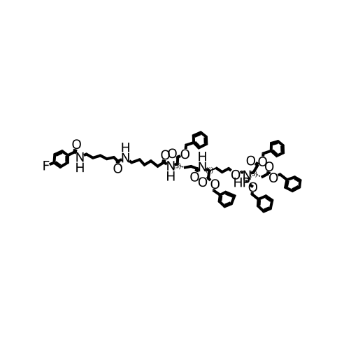 O=C(CCCCCNC(=O)c1ccc(F)cc1)NCCCCCC(=O)N[C@@H](CCC(=O)N[C@@H](CCCOCN(POCc1ccccc1)[C@@H](CC(=O)OCc1ccccc1)C(=O)OCc1ccccc1)C(=O)OCc1ccccc1)C(=O)OCc1ccccc1